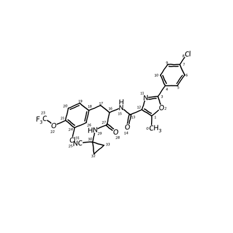 Cc1oc(-c2ccc(Cl)cc2)nc1C(=O)NC(Cc1ccc(OC(F)(F)F)c(Cl)c1)C(=O)NC1(C#N)CC1